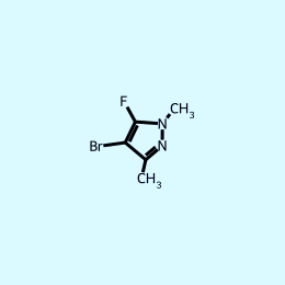 Cc1nn(C)c(F)c1Br